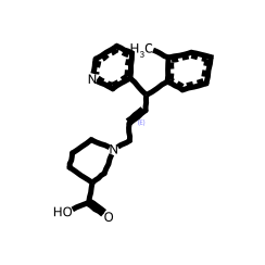 Cc1ccccc1C(/C=C/CN1CCCC(C(=O)O)C1)c1cccnc1